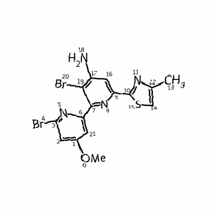 COc1cc(Br)nc(-c2nc(-c3nc(C)cs3)cc(N)c2Br)c1